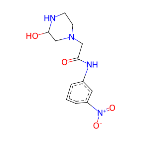 O=C(CN1CCNC(O)C1)Nc1cccc([N+](=O)[O-])c1